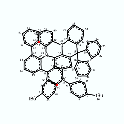 CC(C)(C)c1ccc(N(c2ccc(C(C)(C)C)cc2)c2cc3c4c(c2)C(c2ccccc2)(c2ccccc2)c2ccccc2B4c2ccccc2N3c2c(-c3ccccc3)cccc2-c2ccccc2)cc1